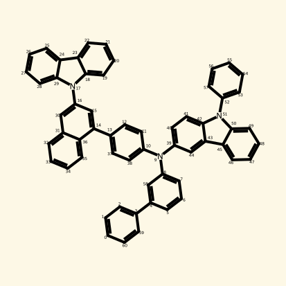 c1ccc(-c2cccc(N(c3ccc(-c4cc(-n5c6ccccc6c6ccccc65)cc5ccccc45)cc3)c3ccc4c(c3)c3ccccc3n4-c3ccccc3)c2)cc1